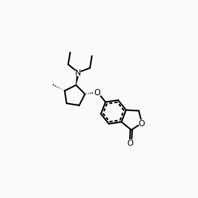 CCN(CC)[C@@H]1[C@@H](C)CC[C@H]1Oc1ccc2c(c1)COC2=O